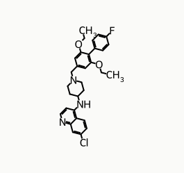 CCOc1cc(CN2CCC(Nc3ccnc4cc(Cl)ccc34)CC2)cc(OCC)c1-c1ccc(F)cc1